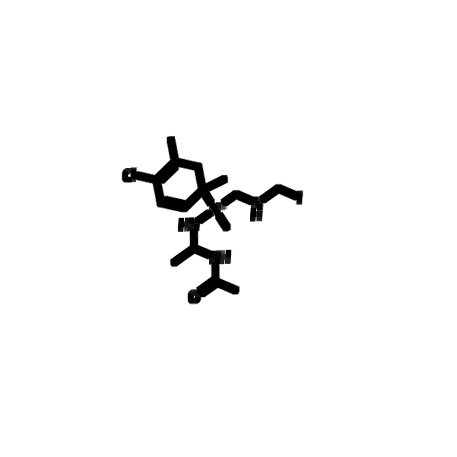 CC(=O)NC(C)N[N+](C)(CNCI)C1(C)C=CC(Cl)=C(C)C1